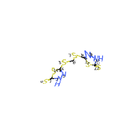 S=c1[nH]nc(SCSc2n[nH]c(=S)s2)s1